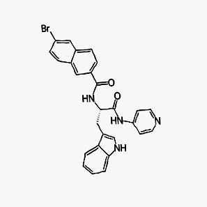 O=C(N[C@@H](Cc1c[nH]c2ccccc12)C(=O)Nc1ccncc1)c1ccc2cc(Br)ccc2c1